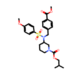 COC(=O)c1ccc(CN(C2CCCN(C(=O)OCC(C)C)C2)S(=O)(=O)c2ccc(OC)cc2)cc1